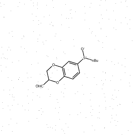 CCCC[S+]([O-])c1ccc2c(c1)OCC(C=O)O2